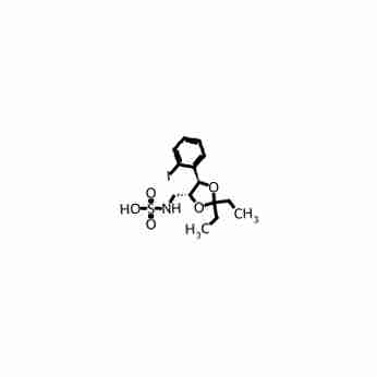 CCC1(CC)O[C@H](c2ccccc2I)[C@@H](CNS(=O)(=O)O)O1